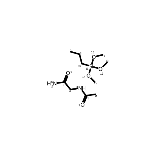 CC(=O)NCC(N)=O.CCC[Si](OC)(OC)OC